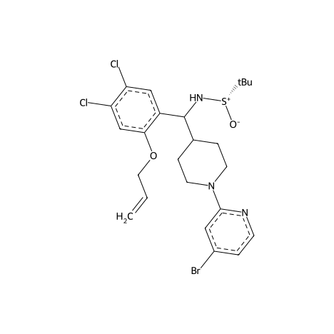 C=CCOc1cc(Cl)c(Cl)cc1C(N[S@@+]([O-])C(C)(C)C)C1CCN(c2cc(Br)ccn2)CC1